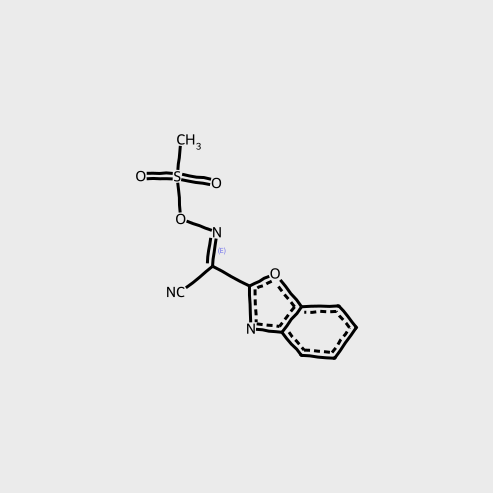 CS(=O)(=O)O/N=C(\C#N)c1nc2ccccc2o1